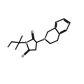 CCC(C)(C)N1C(=O)CC(N2CCc3ccccc3C2)C1=O